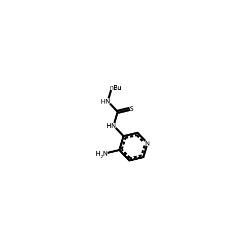 CCCCNC(=S)Nc1cnccc1N